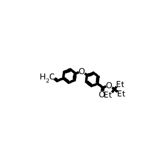 C=Cc1ccc(Oc2ccc(C(=O)OC(CC)(CC)CC)cc2)cc1